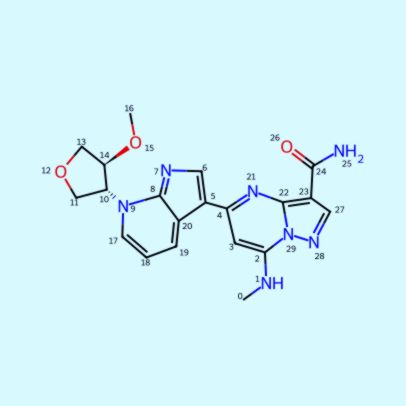 CNc1cc(-c2cnc3n([C@@H]4COC[C@H]4OC)cccc2-3)nc2c(C(N)=O)cnn12